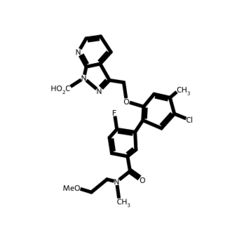 COCCN(C)C(=O)c1ccc(F)c(-c2cc(Cl)c(C)cc2OCc2nn(C(=O)O)c3ncccc23)c1